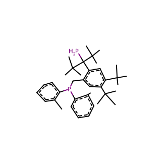 Cc1ccccc1P(Cc1cc(C(C)(C)C)c(C(C)(C)C)cc1C(P)(C(C)(C)C)C(C)(C)C)c1ccccc1C